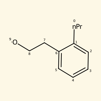 CCCc1ccccc1CC[O]